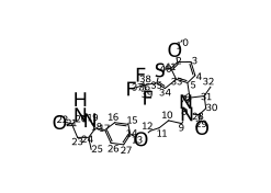 COc1ccc(C2=NN(CCCCOc3ccc(C4=NNC(=O)CC4C)cc3)C(=O)CC2C)c2cc(C(F)(F)F)sc12